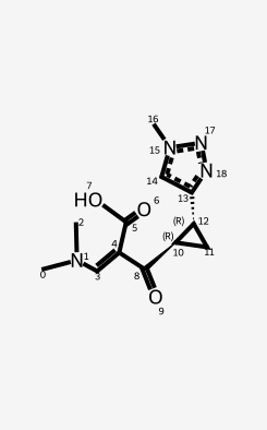 CN(C)C=C(C(=O)O)C(=O)[C@@H]1C[C@H]1c1cn(C)nn1